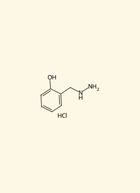 Cl.NNCc1ccccc1O